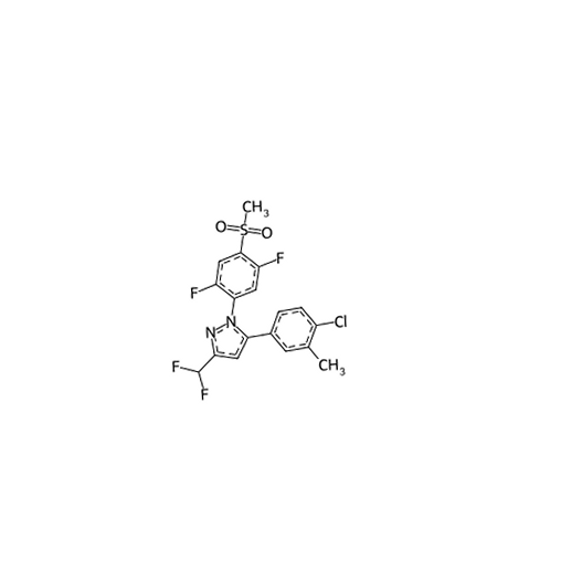 Cc1cc(-c2cc(C(F)F)nn2-c2cc(F)c(S(C)(=O)=O)cc2F)ccc1Cl